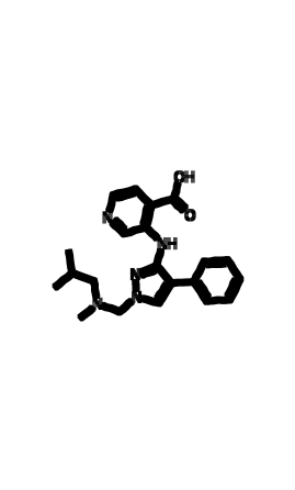 CC(C)CN(C)Cn1cc(-c2ccccc2)c(Nc2cnccc2C(=O)O)n1